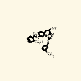 CCCC(Cc1ccc(NC(=O)c2ccccc2C(=O)O)cc1)c1nnc(SCc2cccc(C)c2)[nH]1